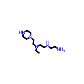 CCN(CCNCCN)CCN1CCNCC1